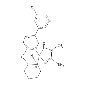 CN1C(=O)C2(N=C1N)c1cc(-c3cncc(Cl)c3)ccc1OC1CCCC[C@@H]12